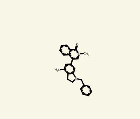 Cc1cc(-c2cn(C)c(=O)c3ccccc23)cc2c1CCN2Cc1ccccc1